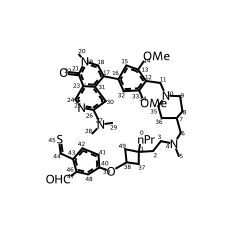 CCCC1(CCN(C)CC2CCN(Cc3c(OC)cc(-c4cn(C)c(=O)c5cnc(N(C)C)cc45)cc3OC)CC2)CC(Oc2ccc(C=S)c(C=O)c2)C1